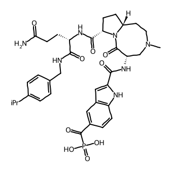 CC(C)c1ccc(CNC(=O)[C@H](CCC(N)=O)NC(=O)[C@@H]2CC[C@@H]3CCN(C)C[C@H](NC(=O)c4cc5cc(C(=O)P(=O)(O)O)ccc5[nH]4)C(=O)N32)cc1